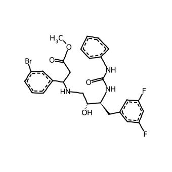 COC(=O)CC(NC[C@@H](O)[C@H](Cc1cc(F)cc(F)c1)NC(=O)Nc1ccccc1)c1cccc(Br)c1